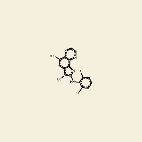 Cc1cc2c(nc(Nc3c(F)cccc3Cl)n2C)c2nccnc12